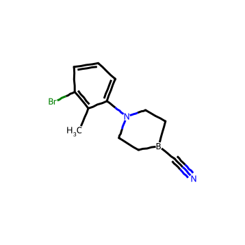 Cc1c(Br)cccc1N1CCB(C#N)CC1